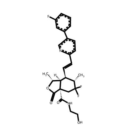 C[C@H]1OC(=O)[C@]2(C(=O)NCCO)CC(F)(F)[C@@H](C)[C@H](/C=C/c3ccc(-c4cccc(F)c4)cn3)[C@H]12